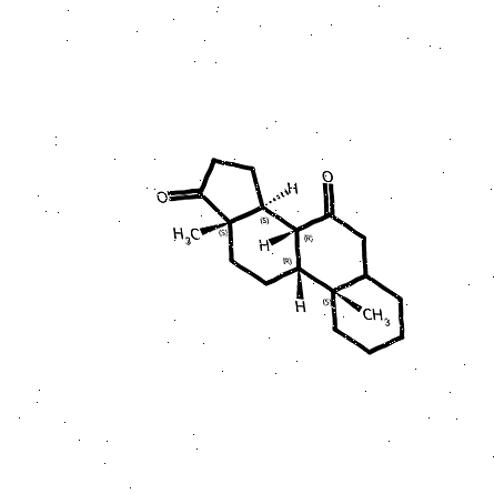 C[C@]12CCCCC1CC(=O)[C@@H]1[C@H]2CC[C@]2(C)C(=O)CC[C@@H]12